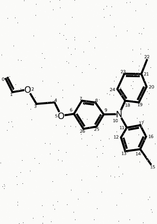 C=COCCOc1ccc(N(c2ccc(C)cc2)c2ccc(C)cc2)cc1